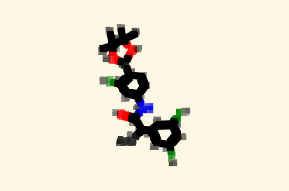 CC(=O)OC(C(=O)Nc1ccc(B2OC(C)(C)C(C)(C)O2)c(F)c1)c1cc(F)cc(F)c1